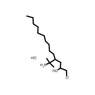 CCCCCCCCCCC(CC(O)CCl)C(C)(C)N.Cl